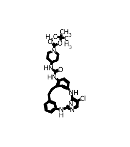 CC(C)(C)OC(=O)N1CCC(NC(=O)Nc2ccc3cc2CCc2cccc(c2)Nc2ncc(Cl)c(n2)N3)CC1